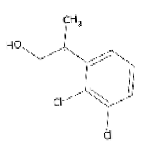 C[C](CO)c1cccc(Cl)c1Cl